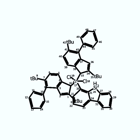 CC(C)(C)C1=Cc2c(ccc(C(C)(C)C)c2-c2ccccc2)[CH]1[Zr]([Cl])([Cl])([c]1cccc2c1[SiH2]c1ccccc1-2)[CH]1C(C(C)(C)C)=Cc2c1ccc(C(C)(C)C)c2-c1ccccc1